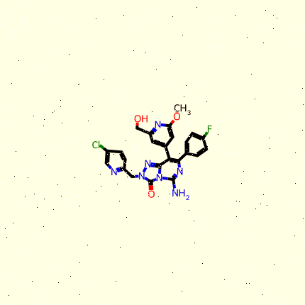 COc1cc(-c2c(-c3ccc(F)cc3)nc(N)n3c(=O)n(Cc4ccc(Cl)cn4)nc23)cc(CO)n1